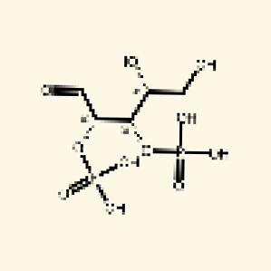 O=C[C@@H](OP(=O)(O)O)[C@@H](OP(=O)(O)O)[C@H](O)CO